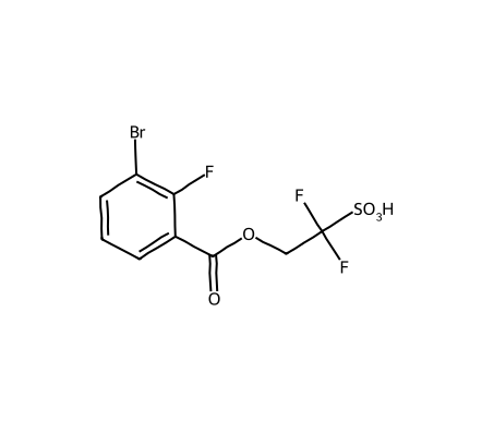 O=C(OCC(F)(F)S(=O)(=O)O)c1cccc(Br)c1F